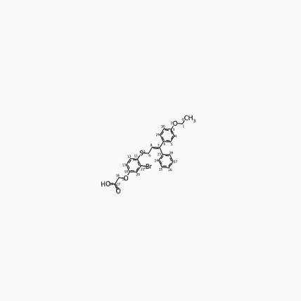 CCOc1ccc(C(=CCSc2ccc(OCC(=O)O)cc2Br)c2ccccc2)cc1